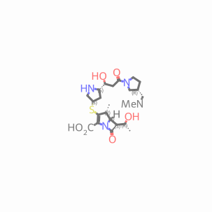 CNC[C@H]1CCN(C(=O)CC(O)[C@@H]2C[C@H](SC3=C(C(=O)O)N4C(=O)[C@H]([C@@H](C)O)[C@H]4[C@H]3C)CN2)C1